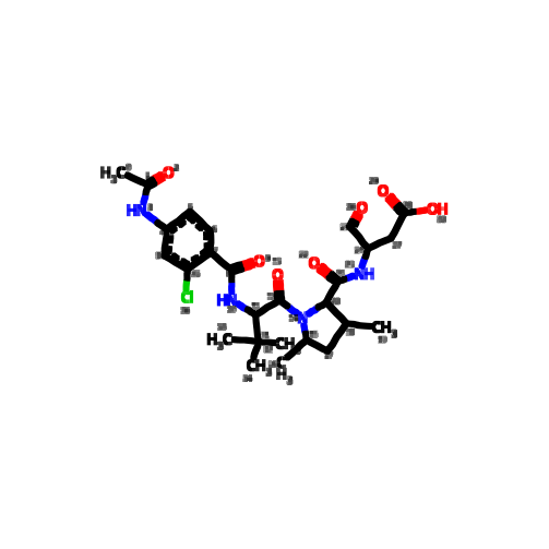 CC(=O)Nc1ccc(C(=O)NC(C(=O)N2C(C)CC(C)C2C(=O)NC(C=O)CC(=O)O)C(C)(C)C)c(Cl)c1